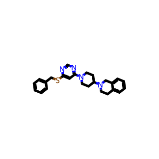 c1ccc(CSc2cc(N3CCC(N4CCc5ccccc5C4)CC3)ncn2)cc1